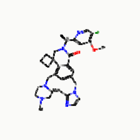 CCOc1cc([C@H](C)N2CC3(CCC3)c3c(CN4CCN(C(C)=O)CC4)cc(Cn4ccnc4NC)cc3C2=O)ncc1F